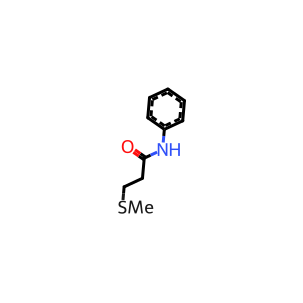 CSCCC(=O)Nc1ccccc1